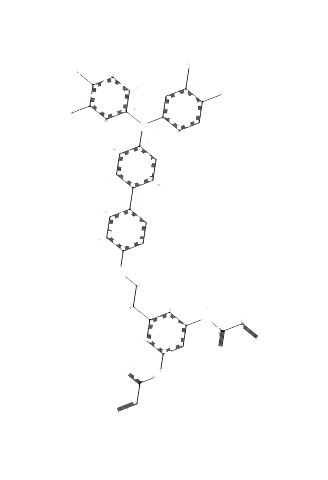 C=CC(=O)Oc1cc(CCOc2ccc(-c3ccc(N(c4ccc(C)c(C)c4)c4ccc(C)c(C)c4)cc3)cc2)cc(OC(=O)C=C)c1